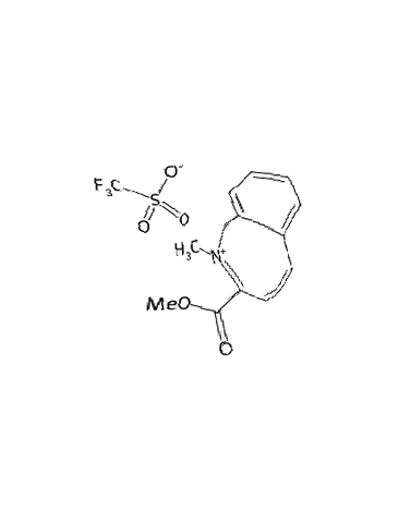 COC(=O)c1ccc2ccccc2[n+]1C.O=S(=O)([O-])C(F)(F)F